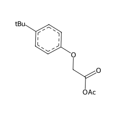 CC(=O)OC(=O)COc1ccc(C(C)(C)C)cc1